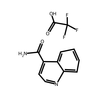 NC(=O)c1ccnc2ccccc12.O=C(O)C(F)(F)F